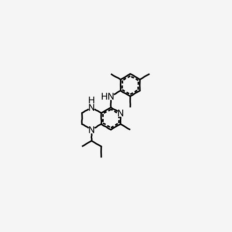 CCC(C)N1CCNc2c1cc(C)nc2Nc1c(C)cc(C)cc1C